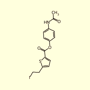 CC(=O)Nc1ccc(OC(=O)c2ccc(CCI)s2)cc1